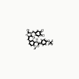 COc1ccc(C=C2SC(=O)N(Cc3ccc(Cl)c(Cl)c3)C2=O)cc1NC(=O)c1ccc(OC(F)(F)F)cc1